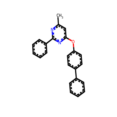 Cc1cc(Oc2ccc(-c3ccccc3)cc2)nc(-c2ccccc2)n1